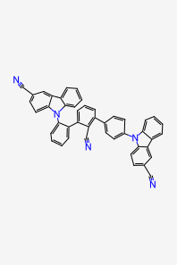 N#Cc1ccc2c(c1)c1ccccc1n2-c1ccc(-c2cccc(-c3ccccc3-n3c4ccccc4c4cc(C#N)ccc43)c2C#N)cc1